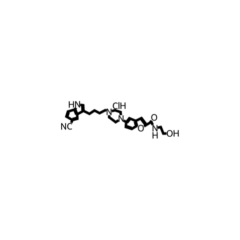 Cl.N#Cc1ccc2[nH]cc(CCCCN3CCN(c4ccc5oc(C(=O)NCCO)cc5c4)CC3)c2c1